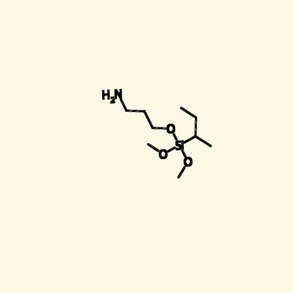 CCC(C)[Si](OC)(OC)OCCCN